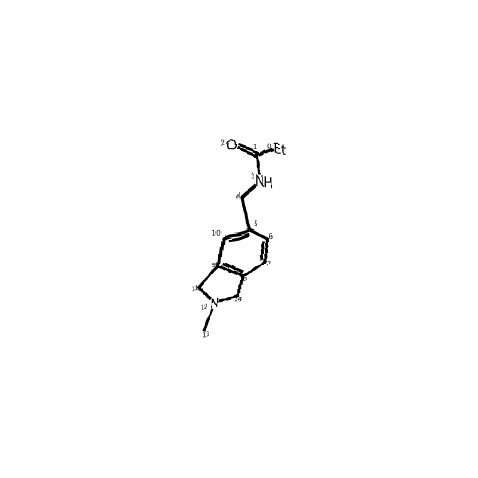 CCC(=O)NCc1ccc2c(c1)CN(C)C2